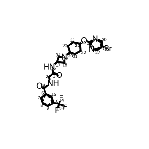 O=C(CNC(=O)c1cccc(C(F)(F)F)c1)NC1CN(C2CCC(Oc3ncc(Br)cn3)CC2)C1